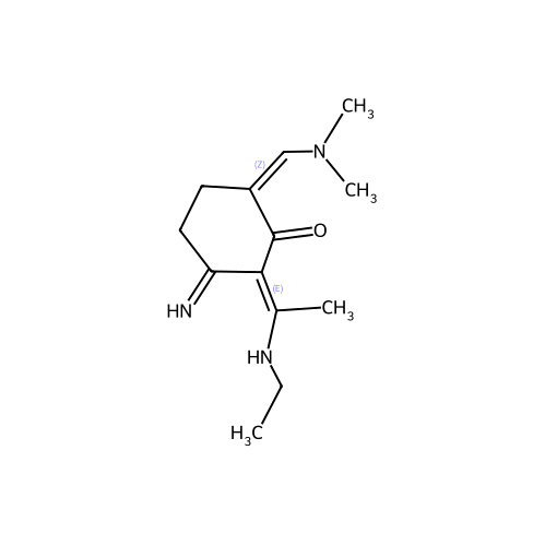 CCN/C(C)=C1\C(=N)CC/C(=C/N(C)C)C1=O